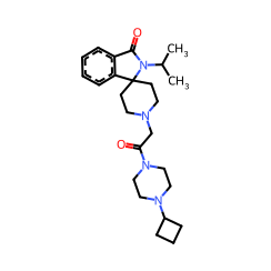 CC(C)N1C(=O)c2ccccc2C12CCN(CC(=O)N1CCN(C3CCC3)CC1)CC2